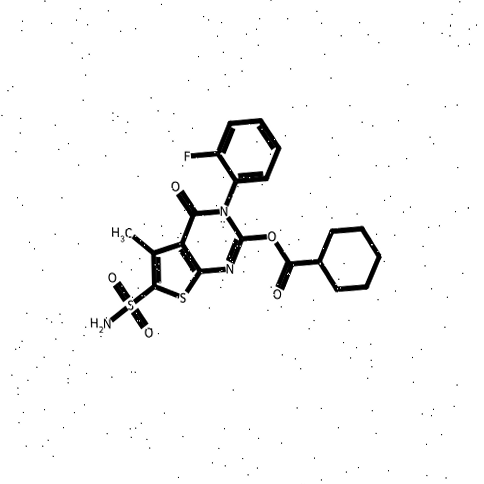 Cc1c(S(N)(=O)=O)sc2nc(OC(=O)C3CCCCC3)n(-c3ccccc3F)c(=O)c12